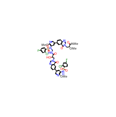 CNC(=O)C(Cn1cnc2ccc(-c3cnc(OC)c(N(CNC(=O)C(O)Cn4cnc5ccc(-c6cnc(OC)c(NS(=O)(=O)c7ccc(F)cc7Cl)c6)cc5c4=O)S(=O)(=O)c4ccc(F)cc4Cl)c3)cc2c1=O)OC